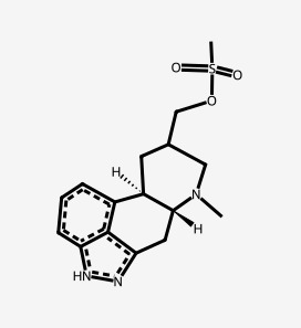 CN1CC(COS(C)(=O)=O)C[C@@H]2c3cccc4[nH]nc(c34)C[C@H]21